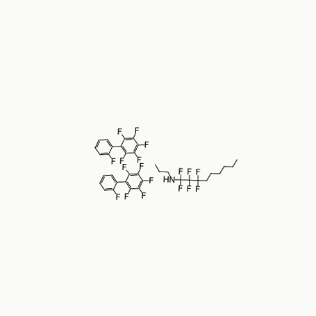 CCCCCCC(F)(F)C(F)(F)C(F)(F)NCCC.Fc1ccccc1-c1c(F)c(F)c(F)c(F)c1F.Fc1ccccc1-c1c(F)c(F)c(F)c(F)c1F